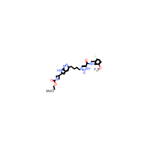 COCCOC(=O)N1CC(c2cc3cc(CCCCN4C=C(C(=O)NCc5cc(OC(F)(F)F)ccc5F)NN4)nnc3[nH]2)C1